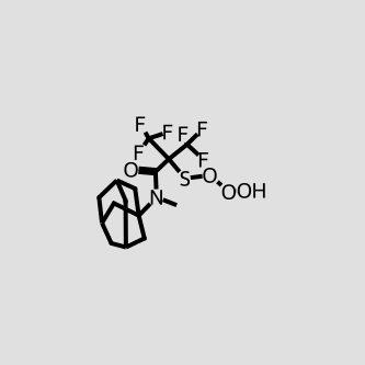 CN(C(=O)C(SOOO)(C(F)(F)F)C(F)(F)F)C12CC3CC(CC(C3)C1)C2